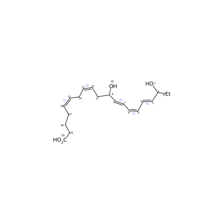 CCC(O)/C=C/C=C\C=C\C(O)C/C=C\C/C=C\CCCC(=O)O